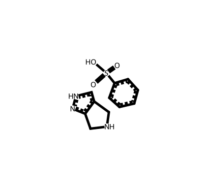 O=S(=O)(O)c1ccccc1.c1[nH]nc2c1CNC2